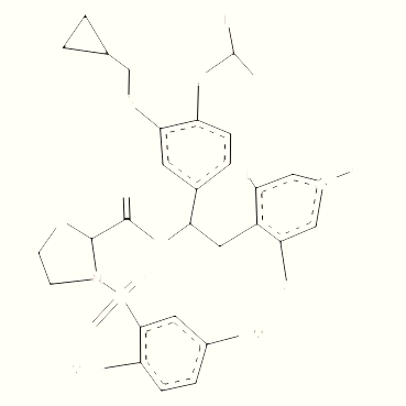 COc1ccc(OC)c(S(=O)(=O)N2CCSC2C(=O)OC(Cc2c(Cl)c[n+]([O-])cc2Cl)c2ccc(OC(F)F)c(OCC3CC3)c2)c1